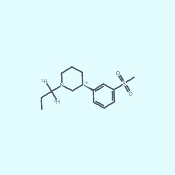 [2H]C([2H])(CC)N1CCC[C@@H](c2cccc(S(C)(=O)=O)c2)C1